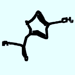 Cc1csc(C(=O)C(C)C)c1